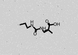 [CH2]CCNC(=O)NC=C(C)C(=O)O